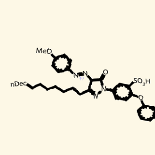 CCCCCCCCCCCCCCCCCC1=NN(c2ccc(Oc3ccccc3)c(S(=O)(=O)O)c2)C(=O)C1/N=N/c1ccc(OC)cc1